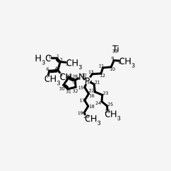 CC=C(C)C(C)=CC.CCCCCCP(CCCCCC)(CCCCCC)=NC1=CC=CC1.[Ti]